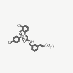 Cc1c(Cl)cccc1N(CC(=O)NCc1cccc(C=CC(=O)O)c1)S(=O)(=O)c1ccc(Cl)cc1